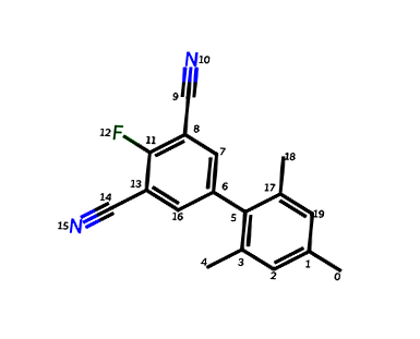 Cc1cc(C)c(-c2cc(C#N)c(F)c(C#N)c2)c(C)c1